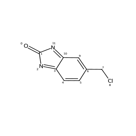 O=C1N=c2ccc(CCl)cc2=N1